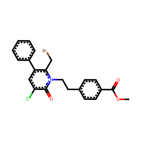 COC(=O)c1ccc(CCn2c(CBr)c(-c3ccccc3)cc(Cl)c2=O)cc1